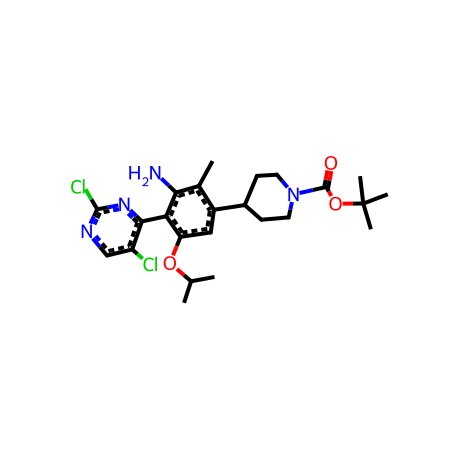 Cc1c(C2CCN(C(=O)OC(C)(C)C)CC2)cc(OC(C)C)c(-c2nc(Cl)ncc2Cl)c1N